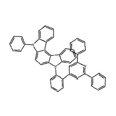 c1ccc(-c2cc(-c3ccccc3-n3c4ccccc4c4c5c6ccccc6n(-c6ccccc6)c5ccc43)nc(-c3ccccc3)n2)cc1